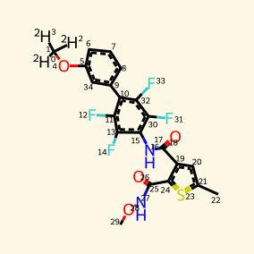 [2H]C([2H])([2H])Oc1cccc(-c2c(F)c(F)c(NC(=O)c3cc(C)sc3C(=O)NOC)c(F)c2F)c1